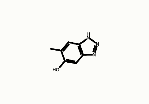 Cc1cc2[nH]nnc2cc1O